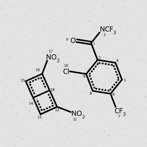 O=C(NC(F)(F)F)c1ccc(C(F)(F)F)cc1Cl.O=[N+]([O-])c1cc2cc([N+](=O)[O-])c1-2